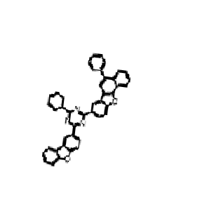 c1ccc(-c2nc(-c3ccc4oc5ccccc5c4c3)nc(-c3ccc4oc5c6ccccc6c(-c6ccccc6)cc5c4c3)n2)cc1